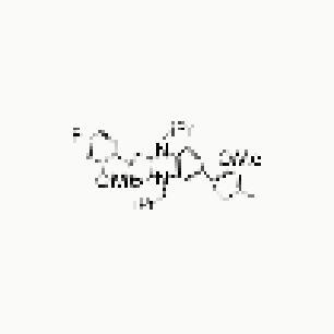 COc1cc(F)ccc1-c1ccc2c(c1)N(CC(C)C)c1ccc(-c3ccc(F)cc3OC)cc1N2CC(C)C